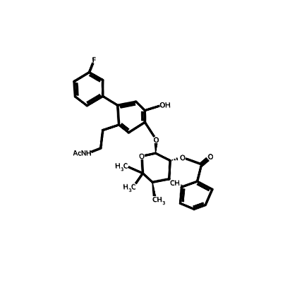 CC(=O)NCCc1cc(O[C@@H]2OC(C)(C)[C@H](C)[C@@H](C)[C@H]2OC(=O)c2ccccc2)c(O)cc1-c1cccc(F)c1